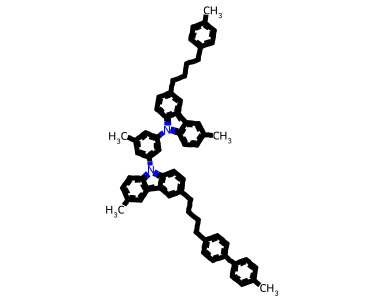 Cc1ccc(CCCCc2ccc3c(c2)c2cc(C)ccc2n3-c2cc(C)cc(-n3c4ccc(C)cc4c4cc(CCCCc5ccc(-c6ccc(C)cc6)cc5)ccc43)c2)cc1